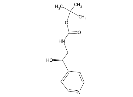 CC(C)(C)OC(=O)NC[C@H](O)c1ccncc1